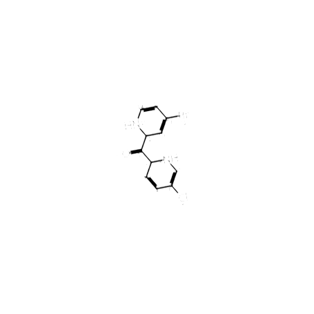 O=C(C1C=CC(Cl)=CN1)C1C=C(Br)C=CN1